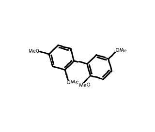 COc1[c]cc(OC)c(-c2ccc(OC)cc2OC)c1